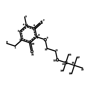 CCc1cn(C)c(=S)n(OCCO[Si](C)(C)C(C)(C)C)c1=O